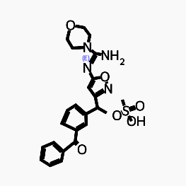 CC(c1cccc(C(=O)c2ccccc2)c1)c1cc(/N=C(\N)N2CCOCC2)on1.CS(=O)(=O)O